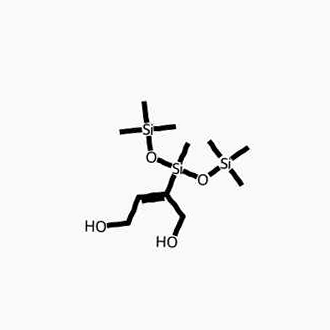 C[Si](C)(C)O[Si](C)(O[Si](C)(C)C)C(=CCO)CO